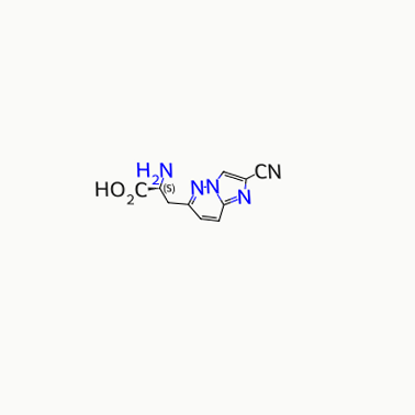 N#Cc1cn2nc(C[C@H](N)C(=O)O)ccc2n1